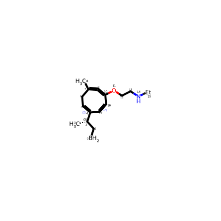 BC[C@H](C)C1=C/CC(C)=C=C(OCCNCC)/C=C\1